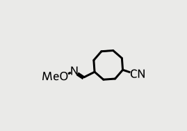 CON=CC1CCCCC(C#N)CC1